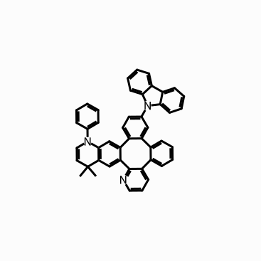 CC1(C)C=CN(c2ccccc2)c2cc3c(cc21)-c1ncccc1-c1ccccc1-c1cc(-n2c4ccccc4c4ccccc42)ccc1-3